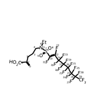 C=C(CCCN(CC)S(=O)(=O)C(F)=C(F)C(F)(F)C(F)(F)C(F)(F)C(F)(F)C(F)(F)C(F)(F)F)C(=O)O